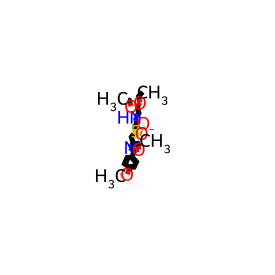 CCOC(CNC(=O)C[S+]([O-])Cc1nc(-c2ccc(OC)cc2)oc1C)OCC